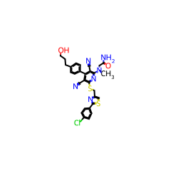 CN(CC(N)=O)c1nc(SCc2csc(-c3ccc(Cl)cc3)n2)c(C#N)c(-c2ccc(CCCO)cc2)c1C#N